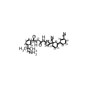 CC(C)(CN)c1cccc(C(=O)NCC(=O)Nc2nc(C3(C#N)C=CC=C(c4cccc(C#N)c4)C3)cs2)c1